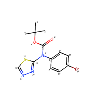 CC(C)(C)OC(=O)N(c1ccc(Br)cc1)c1nncs1